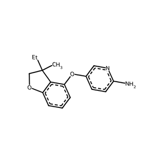 CCC1(C)COc2cccc(Oc3ccc(N)nc3)c21